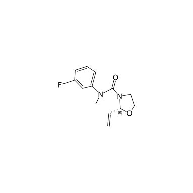 C=C[C@H]1OCCN1C(=O)N(C)c1cccc(F)c1